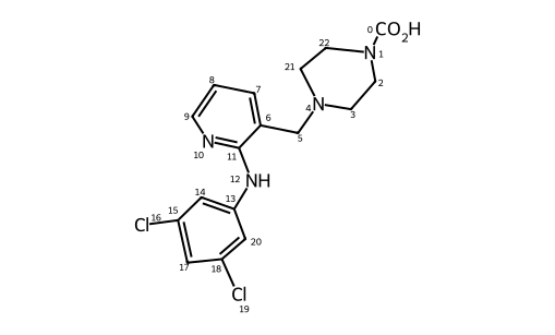 O=C(O)N1CCN(Cc2cccnc2Nc2cc(Cl)cc(Cl)c2)CC1